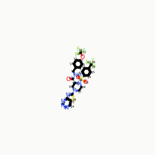 O=C(NCc1ccc(OC(F)(F)F)cc1)[C@H]1CN(c2nc3nnncc3s2)CCN1S(=O)(=O)c1ccc(C(F)(F)F)cc1